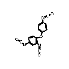 O=C=Nc1ccc(Oc2ccc(N=C=O)cc2N=C=O)cc1